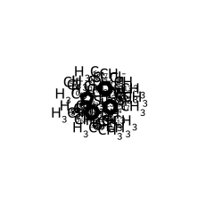 CC1=C(C)C(C)([Si](c2cc([Si](C)(C)C)cc([Si](C)(C)C)c2C)(c2cc([Si](C)(C)C)cc([Si](C)(C)C)c2C)c2cc([Si](C)(C)C)cc([Si](C)(C)C)c2C)[C]([Ti+3])=C1C.[Cl-].[Cl-].[Cl-]